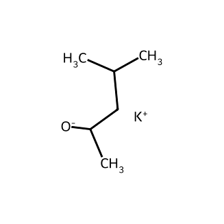 CC(C)CC(C)[O-].[K+]